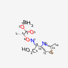 BOC(=O)[C@@H](C)O/N=C(\C(=O)O)c1csc(C)n1